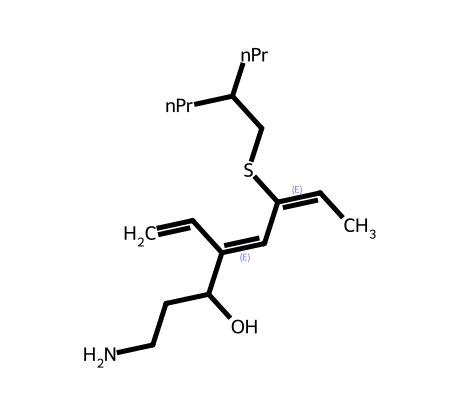 C=C/C(=C\C(=C/C)SCC(CCC)CCC)C(O)CCN